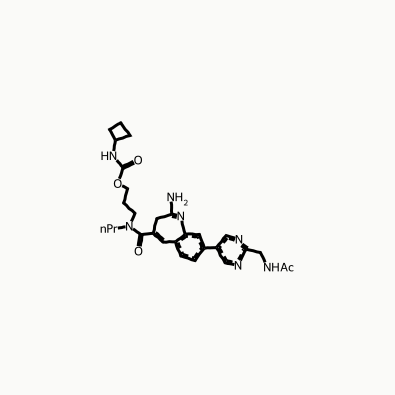 CCCN(CCCOC(=O)NC1CCC1)C(=O)C1=Cc2ccc(-c3cnc(CNC(C)=O)nc3)cc2N=C(N)C1